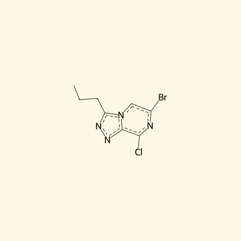 CCCc1nnc2c(Cl)nc(Br)cn12